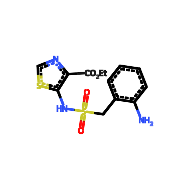 CCOC(=O)c1ncsc1NS(=O)(=O)Cc1ccccc1N